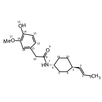 CC=C[C@H]1CC[C@H](NC(=O)Cc2ccc(O)c(OC)c2)CC1